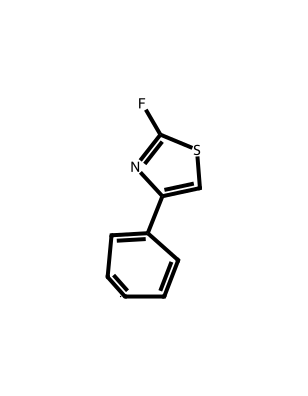 Fc1nc(-c2cc[c]cc2)cs1